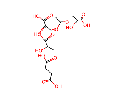 CC(=O)C(=O)O.CC(=O)O.CC(O)C(=O)O.CCO.O=C(O)CCC(=O)O.O=CO